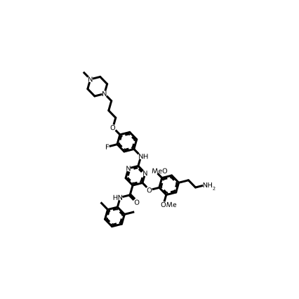 COc1cc(CCN)cc(OC)c1Oc1nc(Nc2ccc(OCCCN3CCN(C)CC3)c(F)c2)ncc1C(=O)Nc1c(C)cccc1C